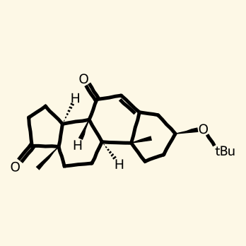 CC(C)(C)O[C@H]1CC[C@@]2(C)C(=CC(=O)[C@@H]3[C@@H]2CC[C@]2(C)C(=O)CC[C@@H]32)C1